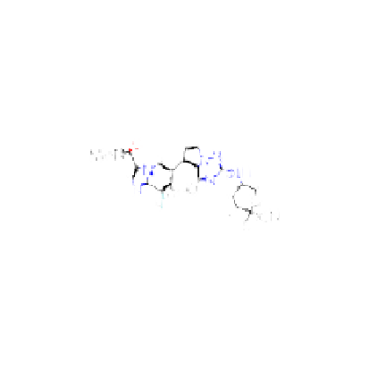 CNC(=O)c1cnc2c(F)cc(-c3ccn4nc(N[C@H]5CC[C@](C)(C#N)CC5)nc(OC)c34)cn12